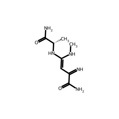 CN/C(=C\C(=N)C(N)=O)N[C@@H](C)C(N)=O